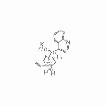 C=C[C@H]1CN2CC[C@H]1C[C@@H]2[C@@H](O)c1ccnc2ccccc12.[K][I]